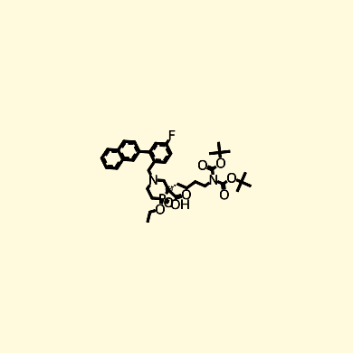 CCOP1(=O)CCN(Cc2ccc(F)cc2-c2ccc3ccccc3c2)C[C@@]1(CCCCN(C(=O)OC(C)(C)C)C(=O)OC(C)(C)C)C(=O)O